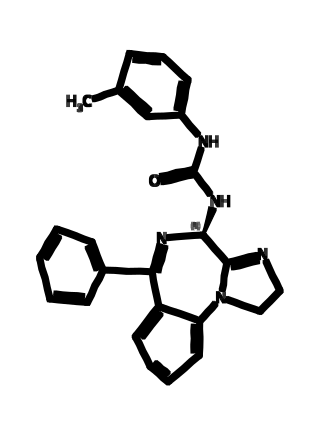 Cc1cccc(NC(=O)N[C@@H]2N=C(c3ccccc3)c3ccccc3N3CCN=C23)c1